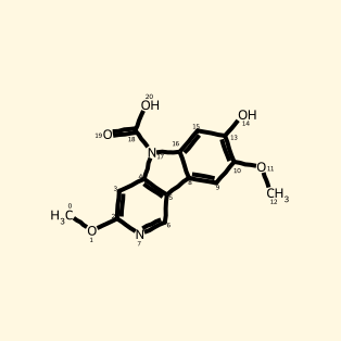 COc1cc2c(cn1)c1cc(OC)c(O)cc1n2C(=O)O